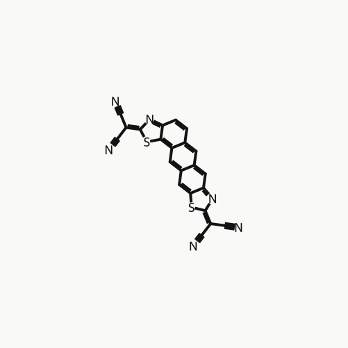 N#CC(C#N)=c1nc2cc3cc4ccc5nc(=C(C#N)C#N)sc5c4cc3cc2s1